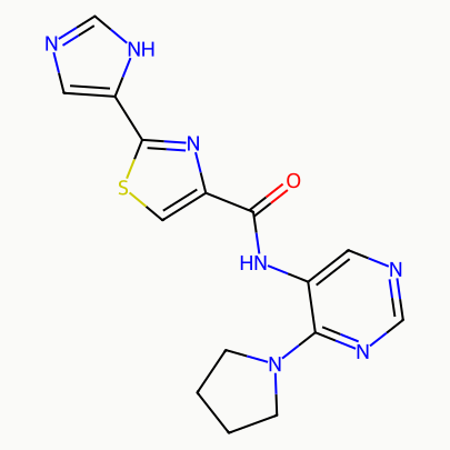 O=C(Nc1cncnc1N1CCCC1)c1csc(-c2cnc[nH]2)n1